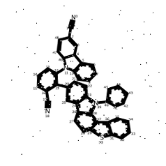 N#CC1=CC2c3ccccc3N(c3cccc(C#N)c3-c3ccc4c(c3)c3ccc5sc6ccccc6c5c3n4-c3ccccc3)C2C=C1